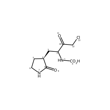 O=C(O)NC(C[C@@H]1CCNC1=O)C(=O)CCl